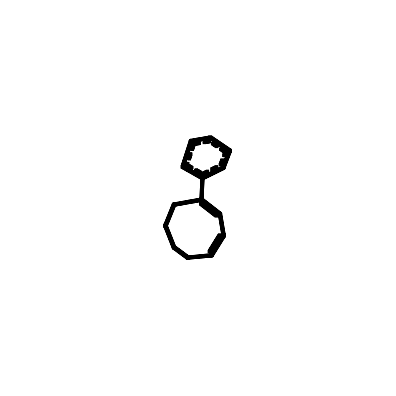 C1=C\CCCC\C(c2ccccc2)=C/1